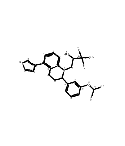 OC(CN1c2cccc(-c3ccsc3)c2CCC1c1cccc(OC(F)F)c1)C(F)(F)F